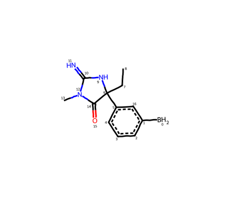 Bc1cccc(C2(CC)NC(=N)N(C)C2=O)c1